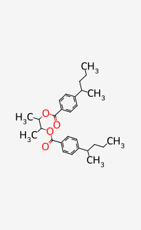 CCCC(C)c1ccc(C(=O)OC(C)C(C)OC(=O)c2ccc(C(C)CCC)cc2)cc1